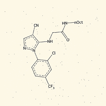 CCCCCCCCNC(=O)CNc1c(C#N)cnn1-c1ccc(C(F)(F)F)cc1Cl